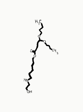 CCCCOC(CCC(=O)OCCCCCCNCCO)OCCCC